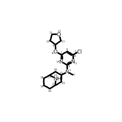 CN(c1nc(Cl)cc(OC2CCOC2)n1)C1CC2CCCC(C1)N2